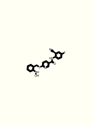 N#Cc1cc(F)ccc1NC(=O)c1ccc(SCc2ccccc2BO)nc1